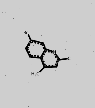 Cc1cc(Cl)nc2cc(Br)ccc12